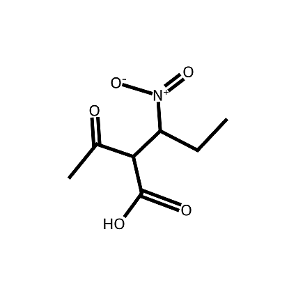 CCC(C(C(C)=O)C(=O)O)[N+](=O)[O-]